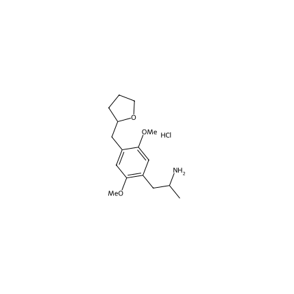 COc1cc(CC2CCCO2)c(OC)cc1CC(C)N.Cl